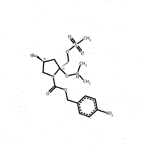 C[SiH](C)O[C@]1(COS(C)(=O)=O)C[C@H](C(C)(C)C)CN1C(=O)OCc1ccc([N+](=O)[O-])cc1